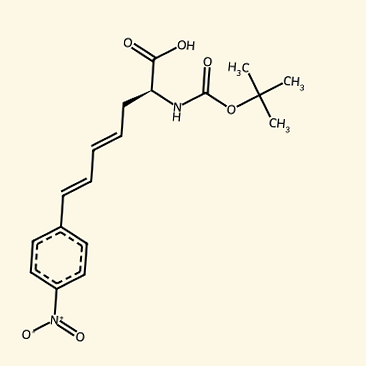 CC(C)(C)OC(=O)N[C@@H](C/C=C/C=C/c1ccc([N+](=O)[O-])cc1)C(=O)O